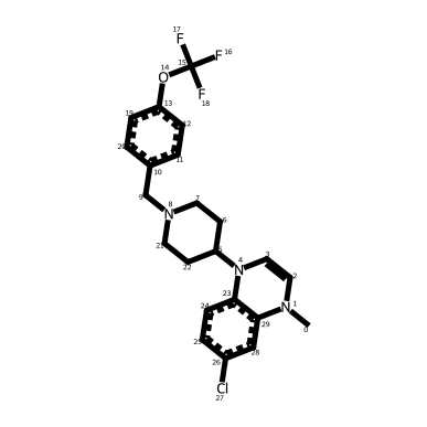 CN1C=CN(C2CCN(Cc3ccc(OC(F)(F)F)cc3)CC2)c2ccc(Cl)cc21